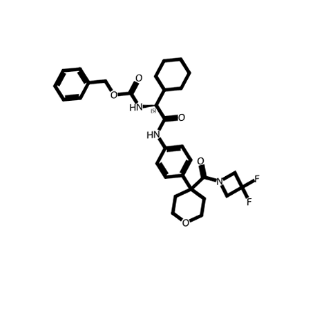 O=C(N[C@H](C(=O)Nc1ccc(C2(C(=O)N3CC(F)(F)C3)CCOCC2)cc1)C1CCCCC1)OCc1ccccc1